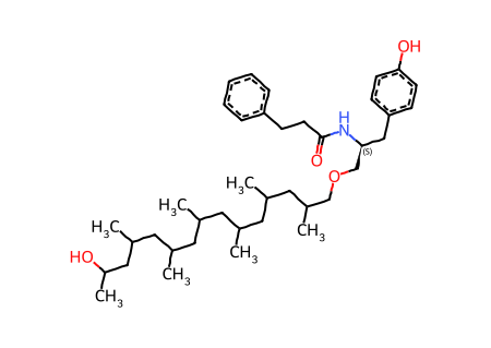 CC(O)CC(C)CC(C)CC(C)CC(C)CC(C)CC(C)COC[C@H](Cc1ccc(O)cc1)NC(=O)CCc1ccccc1